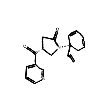 C=C[C@@]1(N2C[C@H](C(=O)c3cccnc3)CC2=O)C=CC=CC1